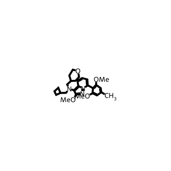 COc1cc(C)cc(OC)c1-c1cccc2c(N(CC3CCC3)CC3CCOCC3)c(OC)nn12